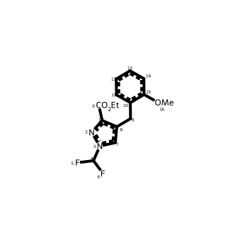 CCOC(=O)c1nn(C(F)F)cc1Cc1ccccc1OC